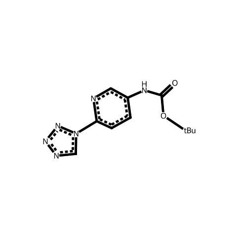 CC(C)(C)OC(=O)Nc1ccc(-n2cnnn2)nc1